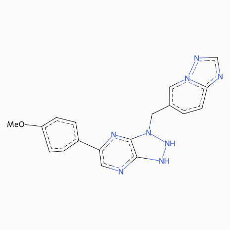 COc1ccc(-c2cnc3c(n2)N(Cc2ccc4ncnn4c2)NN3)cc1